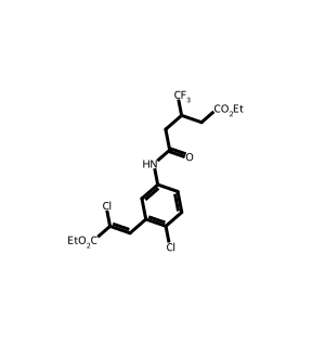 CCOC(=O)CC(CC(=O)Nc1ccc(Cl)c(C=C(Cl)C(=O)OCC)c1)C(F)(F)F